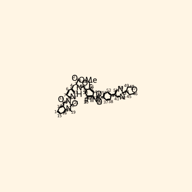 COC(=O)[C@H](Cc1ccc(-n2c(=O)c3ccccc3n(C)c2=O)nc1)NC(=O)c1cc(F)c(NS(=O)(=O)c2ccc(-c3cnc(C4CCOCC4)nc3)cc2)cc1F